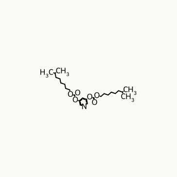 CC(C)CCCCCCOC(=O)Oc1cncc(OC(=O)OCCCCCCC(C)C)c1